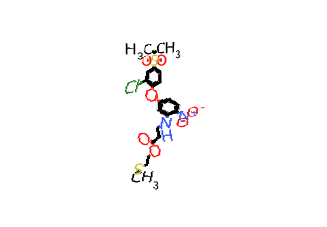 CSCCOC(=O)CCNc1cc(Oc2ccc(S(=O)(=O)C(C)C)cc2Cl)ccc1[N+](=O)[O-]